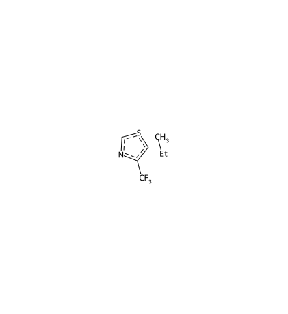 CCC.FC(F)(F)c1cscn1